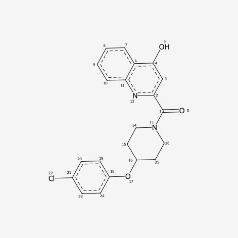 O=C(c1cc(O)c2ccccc2n1)N1CCC(Oc2ccc(Cl)cc2)CC1